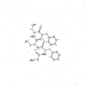 CCCCOC(=O)NC(Cc1ccccc1)C(=O)N(C)C(CC(C)C)C(=O)NC(CC(C)C)C(=O)OCc1ccccc1